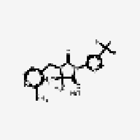 CC1(C)C(=O)N(c2cc(C(F)(F)F)cs2)C(=O)N1Cc1ccnc(N)c1.Cl